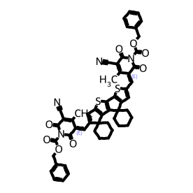 CC1=C(C#N)C(=O)N(C(=O)OCc2ccccc2)C(=O)/C1=C/C1=Cc2sc3c(c2C12CCCCC2)C1(CCCCC1)c1cc(/C=C2/C(=O)N(C(=O)OCc4ccccc4)C(=O)C(C#N)=C2C)sc1-3